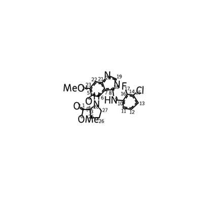 COC(=O)[C@]1(Oc2cc3c(Nc4cccc(Cl)c4F)ncnc3cc2OC)CCCN1